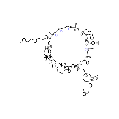 COCCOCCOC1C[C@@H]2CC[C@@H](C)[C@@](O)(O2)C(=O)C(=O)N2CCCC[C@H]2C(=O)O[C@H]([C@H](C)C[C@@H]2CCC(OC3COC3)[C@H](OC)C2)CC(=O)[C@H](C)/C=C(\C)[C@@H](O)[C@@H](OC)C(=O)[C@H](C)C[C@H](C)/C=C/C=C/C=C/1C